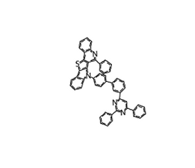 c1ccc(-c2cc(-c3cccc(-c4ccc(-n5c6ccccc6c6sc7c8ccccc8nc(-c8ccccc8)c7c65)cc4)c3)nc(-c3ccccc3)n2)cc1